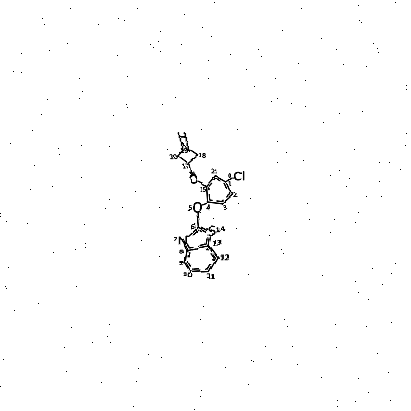 Clc1ccc(Oc2nc3ccccc3s2)c(OC2CNC2)c1